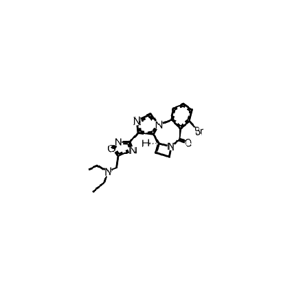 CCN(CC)Cc1nc(-c2ncn3c2[C@@H]2CCN2C(=O)c2c(Br)cccc2-3)no1